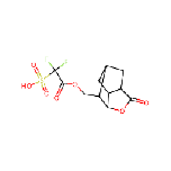 O=C1OC2C(COC(=O)C(F)(F)S(=O)(=O)O)C3CC1C2C3